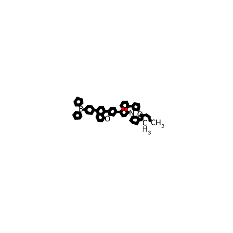 C=C/C=C\c1oc2c(N(c3ccc(-c4ccc5c(c4)Oc4cccc6c(-c7ccc(B(c8ccccc8)c8ccccc8)cc7)ccc-5c46)cc3)c3ccccc3-c3ccccc3)cccc2c1C